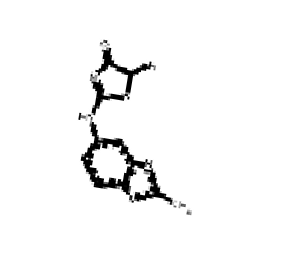 Cc1nc2cc(NC3=NC(=O)C(C(C)C)S3)ccc2s1